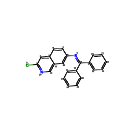 Clc1cc2ccc(N=C(c3ccccc3)c3ccccc3)cc2cn1